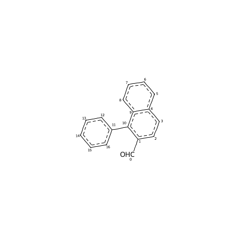 O=Cc1ccc2ccccc2c1-c1ccccc1